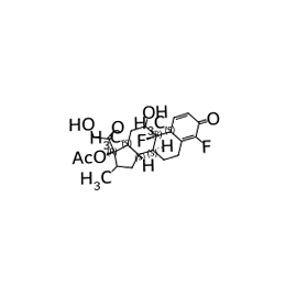 CC(=O)O[C@]1(C(=O)CO)C(C)C[C@H]2[C@@H]3CCC4=C(F)C(=O)C=C[C@]4(C)[C@@]3(F)C(O)C[C@@]21C